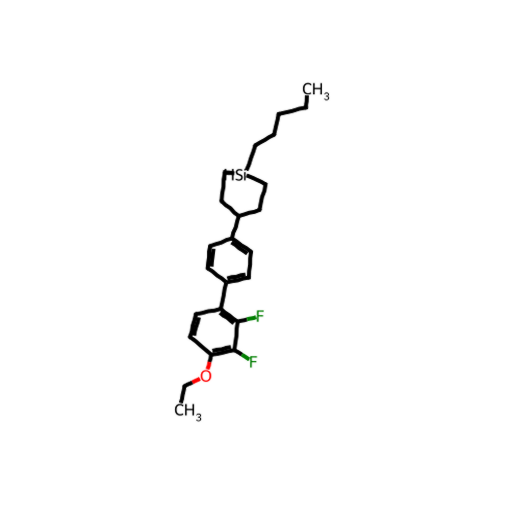 CCCCC[SiH]1CCC(c2ccc(-c3ccc(OCC)c(F)c3F)cc2)CC1